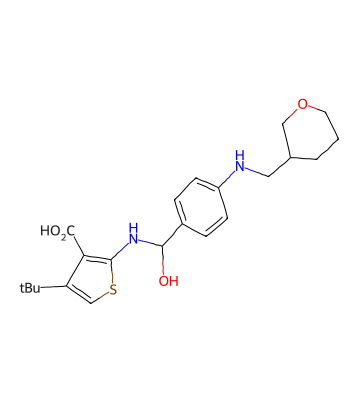 CC(C)(C)c1csc(NC(O)c2ccc(NCC3CCCOC3)cc2)c1C(=O)O